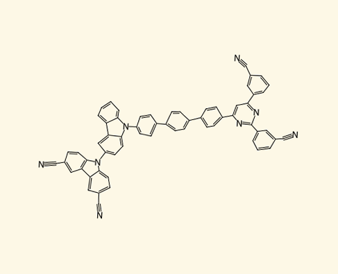 N#Cc1cccc(-c2cc(-c3ccc(-c4ccc(-c5ccc(-n6c7ccccc7c7cc(-n8c9ccc(C#N)cc9c9cc(C#N)ccc98)ccc76)cc5)cc4)cc3)nc(-c3cccc(C#N)c3)n2)c1